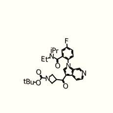 CCN(C(=O)c1cc(F)ccc1-n1cc(C(=O)C2CN(C(=O)OC(C)(C)C)C2)c2ccncc21)C(C)C